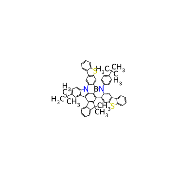 CC(C)(C)c1ccc(N2B3c4cc5sc6ccccc6c5cc4-n4c5ccc(C(C)(C)C)cc5c5c6c(c(c3c54)-c3cc4sc5ccccc5c4cc32)C(C)(C)c2ccccc2-6)cc1